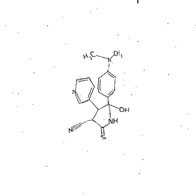 CN(C)c1ccc(C2(O)NC(=S)C(C#N)C2c2cccnc2)cc1